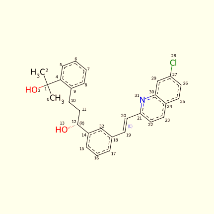 CC(C)(O)c1ccccc1CC[C@@H](O)c1cccc(/C=C/c2ccc3ccc(Cl)cc3n2)c1